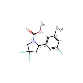 CC(C)(C)OC(=O)N1CC(F)(F)CC1c1cc(F)cc(C(=O)O)c1